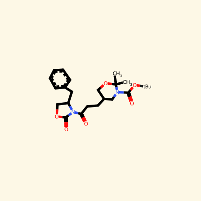 CC(C)(C)OC(=O)N1CC(CCC(=O)N2C(=O)OCC2Cc2ccccc2)COC1(C)C